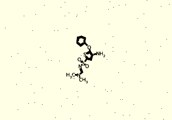 CN(C)C=NS(=O)(=O)c1cc(N)c(Oc2ccccc2)s1